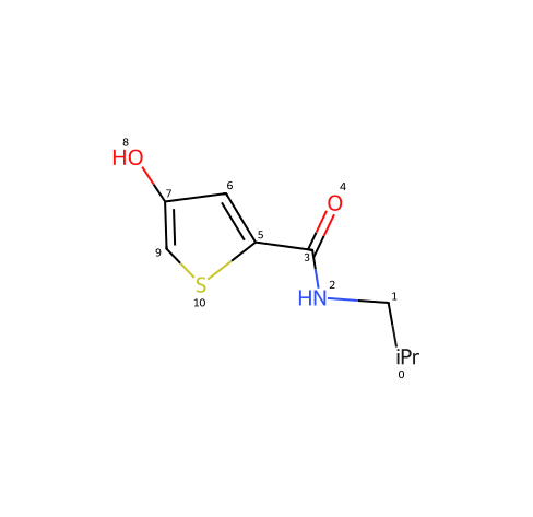 CC(C)CNC(=O)c1cc(O)cs1